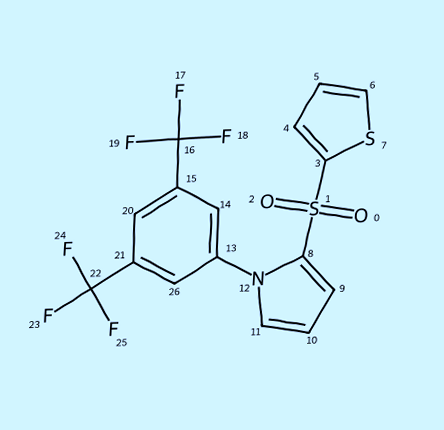 O=S(=O)(c1cccs1)c1cccn1-c1cc(C(F)(F)F)cc(C(F)(F)F)c1